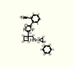 N#Cc1ccccc1-c1nc(C2(CN[C@H]3C[C@@H]3c3ccccc3)CCC2)no1